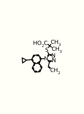 C=Cc1nnc(SC(C)(C)C(=O)O)n1-c1ccc(C2CC2)c2ccccc12